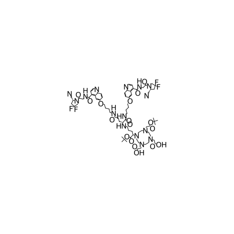 CC(C)(C)OC(=O)CN1CCN(CC(=O)O)CCN(CC(=O)O)CCN(C(CCC(=O)N[C@@H](CCC(=O)NCCCCOc2ccc3nccc(C(=O)NCC(=O)N4CC(F)(F)C[C@H]4C#N)c3c2)C(=O)NCCCCOc2ccc3nccc(C(=O)NCC(=O)N4CC(F)(F)C[C@H]4C#N)c3c2)C(=O)OC(C)(C)C)CC1